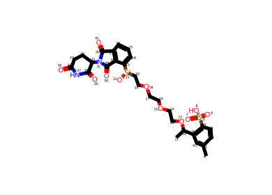 Cc1ccc(S(=O)(=O)O)c(C(C)OCCOCCOCC[S+]([O-])c2cccc3c2C(=O)N(C2CCC(=O)NC2=O)C3=O)c1